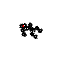 c1ccc(-c2cccc(-c3c[n+](-n4c5ccccc5c5c6c7ccccc7n(-c7cc(-c8ccccc8)ccc7-c7ccccc7)c6ccc54)nc(-c4cccc(-c5ccccc5)c4)n3)c2)cc1